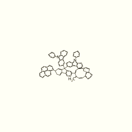 C=C1/C=C\c2cccc3c2C/C(=C\C=C/1c1ccc2c(c1)C(c1ccc4c(c1)c1ccccc1n4-c1ccccc1)(c1ccc4c(c1)c1ccccc1n4-c1ccccc1)C1=CC(c4ccc5ccc6cccc7ccc4c5c67)CC=C12)C=C3